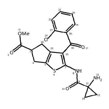 COC(=O)C1Cc2sc(NC(=O)C3(N)CC3)c(C(=O)c3ccccc3Cl)c2C1